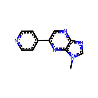 Cn1cnc2ncc(-c3ccncc3)nc21